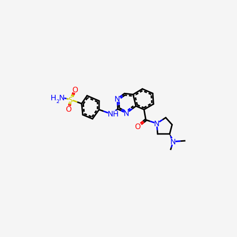 CN(C)[C@@H]1CCN(C(=O)c2cccc3cnc(Nc4ccc(S(N)(=O)=O)cc4)nc23)C1